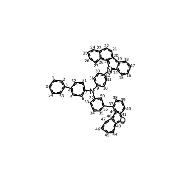 c1ccc(-c2ccc(N(c3ccc(-n4c5ccccc5c5ccc6ccccc6c54)cc3)c3cccc(-c4cccc5oc6ccccc6c45)c3)cc2)cc1